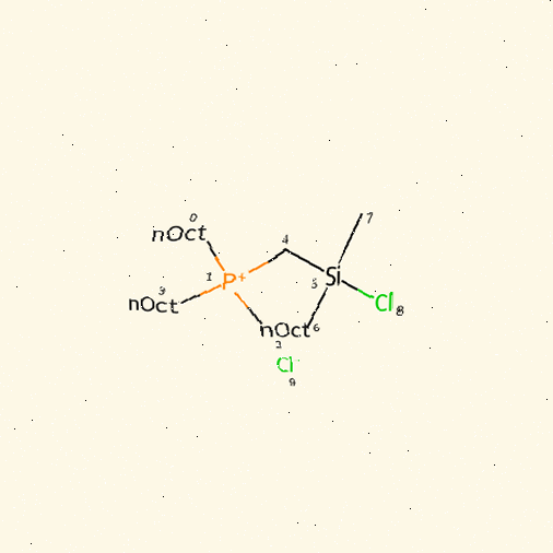 CCCCCCCC[P+](CCCCCCCC)(CCCCCCCC)C[Si](C)(C)Cl.[Cl-]